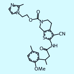 COc1ccc(C)cc1C(C)CC(=O)Nc1sc2c(c1C#N)CCN(C(=O)OCCn1ccnc1C)C2